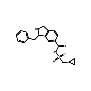 O=C(NS(=O)(=O)CC1CC1)c1ccc2c(c1)C(Cc1ccccc1)NC2